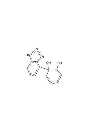 OC1C=CC=CC1(O)c1cccc2[nH]nnc12